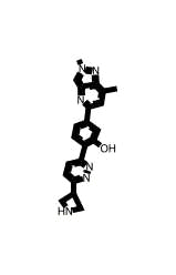 Cc1cc(-c2ccc(-c3ccc(C4CNC4)nn3)c(O)c2)nc2cn(C)nc12